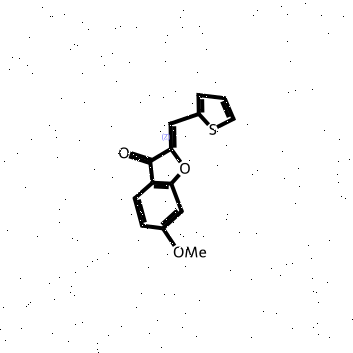 COc1ccc2c(c1)O/C(=C\c1cccs1)C2=O